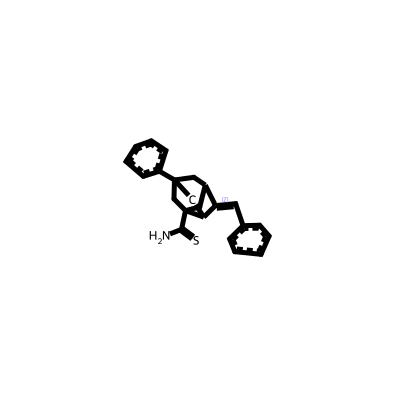 NC(=S)C12CC3CC(c4ccccc4)(CC1/C3=C\c1ccccc1)C2